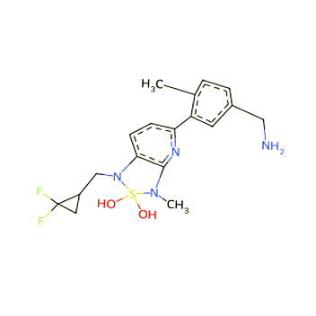 Cc1ccc(CN)cc1-c1ccc2c(n1)N(C)S(O)(O)N2CC1CC1(F)F